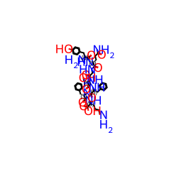 NCCCC[C@H](NC(=O)[C@H](Cc1ccccc1)NC(=O)[C@H](Cc1ccccc1)NC(=O)[C@H](CO)NC(=O)CNC(=O)[C@H](CCC(N)=O)NC(=O)[C@@H](N)Cc1ccc(O)cc1)C(=O)O